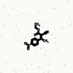 CCOC(=O)/C(C#N)=C(/C)c1ccc([N+](=O)[O-])cc1